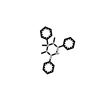 CN1[SiH](c2ccccc2)N[SiH](c2ccccc2)N(C)[Si]1(C)c1ccccc1